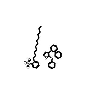 CCCCCCCCCCCCc1ccccc1S(=O)(=O)[O-].c1ccc(-c2ccsc2[S+](c2ccccc2)c2ccccc2)cc1